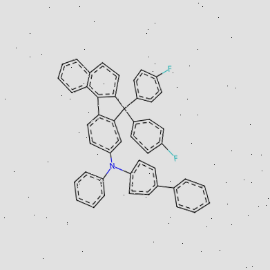 Fc1ccc(C2(c3ccc(F)cc3)c3cc(N(c4ccccc4)c4ccc(-c5ccccc5)cc4)ccc3-c3c2ccc2ccccc32)cc1